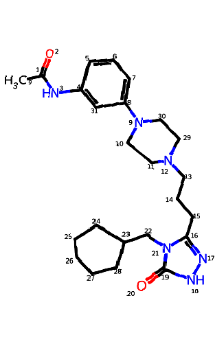 CC(=O)Nc1cccc(N2CCN(CCCc3n[nH]c(=O)n3CC3CCCCC3)CC2)c1